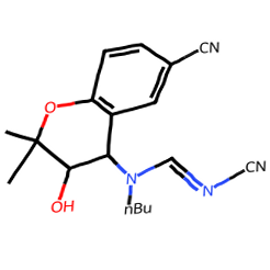 CCCCN(C=NC#N)C1c2cc(C#N)ccc2OC(C)(C)C1O